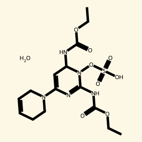 CCOC(=O)NC1=NC(N2CC=CCC2)=CC(NC(=O)OCC)N1OS(=O)(=O)O.O